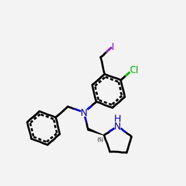 Clc1ccc(N(Cc2ccccc2)C[C@@H]2CCCN2)cc1CI